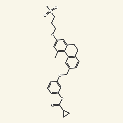 Cc1cc(OCCCS(C)(=O)=O)cc2c1-c1cc(COc3cccc(OC(=O)C4CC4)c3)ccc1CC2